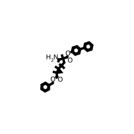 CC(N)C(C)(CC(C)(C)C1(C)CC1(C)C(=O)OCc1ccccc1)C(=O)Oc1ccc(-c2ccccc2)cc1